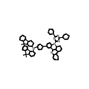 CC1(C)c2ccccc2-c2ccc(N(c3ccc(-c4ccc5c(c4)-c4nc6ccccc6c6cccc(c46)N5c4nc(-c5ccccc5)nc(-c5ccccc5)n4)cc3)c3cccc4c3-c3ccccc3C4(C)C)cc21